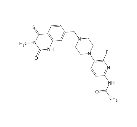 CC(=O)Nc1ccc(N2CCN(Cc3ccc4c(=S)n(C)c(=O)[nH]c4c3)CC2)c(F)n1